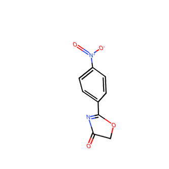 O=C1COC(c2ccc([N+](=O)[O-])cc2)=N1